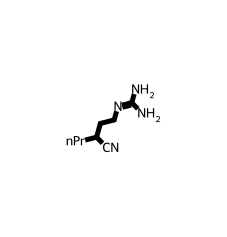 CCCC(C#N)CCN=C(N)N